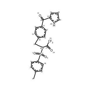 Cc1ccc(S(=O)(=O)N(Cc2ccc(C(=O)c3ccc[nH]3)cc2)C(=O)C(F)(F)F)cc1